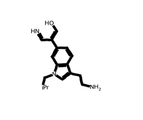 CC(C)Cn1cc(CCN)c2ccc(/C(C=N)=C/O)cc21